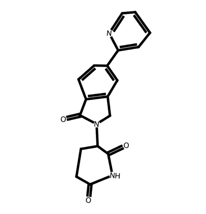 O=C1CCC(N2Cc3cc(-c4ccccn4)ccc3C2=O)C(=O)N1